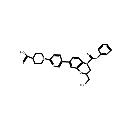 CCC1CN(C(=O)Nc2ccccc2)c2ccc(-c3ccc(N4CCC(C(=O)O)CC4)nc3)cc2O1